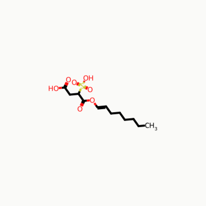 CCCCCCC=COC(=O)C(CC(=O)O)S(=O)(=O)O